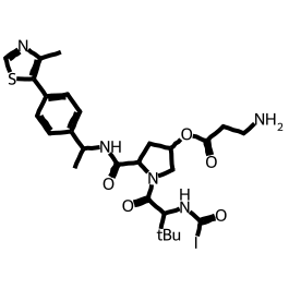 Cc1ncsc1-c1ccc(C(C)NC(=O)C2CC(OC(=O)CCN)CN2C(=O)C(NC(=O)I)C(C)(C)C)cc1